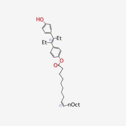 CCCCCCCC/C=C\CCCCCCCC(=O)Oc1ccc(/C(CC)=C(\CC)c2ccc(O)cc2)cc1